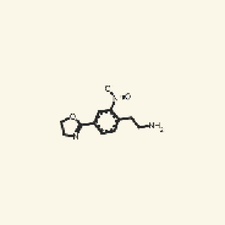 NCCc1ccc(C2=NCCO2)cc1[N+](=O)[O-]